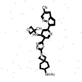 CC(=O)NC1CCC2(CC1)CN(c1nnc(-c3cnc(-c4ccc5cc(C#N)cnn45)cc3NC3(C)COC3)s1)C2